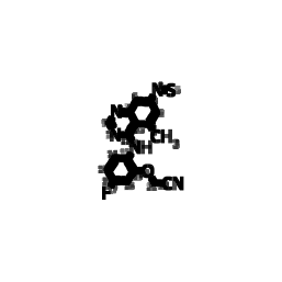 Cc1cc(N=S)cc2ncnc(Nc3ccc(F)cc3OCC#N)c12